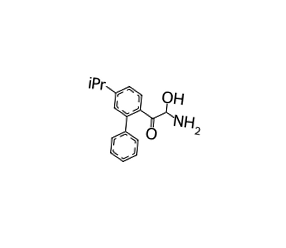 CC(C)c1ccc(C(=O)C(N)O)c(-c2ccccc2)c1